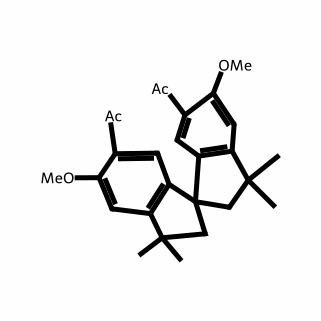 COc1cc2c(cc1C(C)=O)C1(CC2(C)C)CC(C)(C)c2cc(OC)c(C(C)=O)cc21